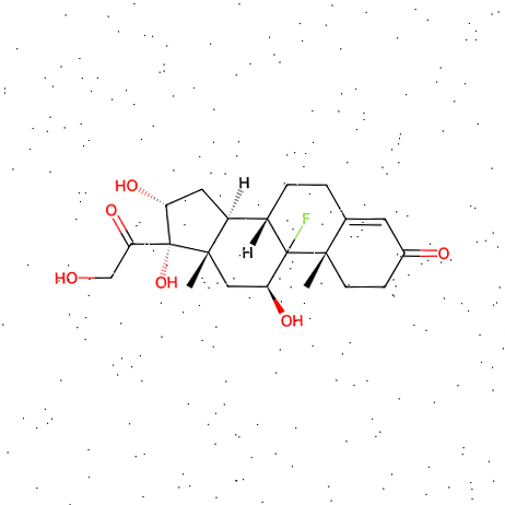 C[C@]12CCC(=O)C=C1CC[C@H]1[C@@H]3C[C@@H](O)[C@](O)(C(=O)CO)[C@@]3(C)C[C@H](O)C12F